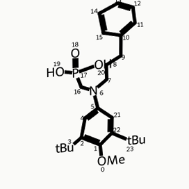 COc1c(C(C)(C)C)cc(N(CCCc2ccccc2)CP(=O)(O)O)cc1C(C)(C)C